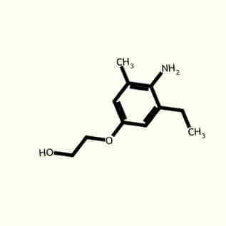 CCc1cc(OCCO)cc(C)c1N